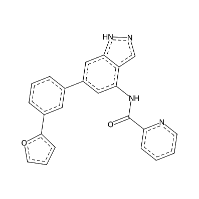 O=C(Nc1cc(-c2cccc(-c3ccco3)c2)cc2[nH]ncc12)c1ccccn1